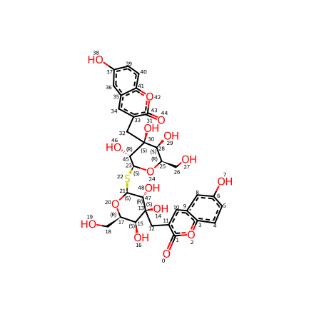 O=c1oc2ccc(O)cc2cc1C[C@]1(O)[C@@H](O)[C@@H](CO)O[C@@H](S[C@@H]2O[C@H](CO)[C@H](O)[C@@](O)(Cc3cc4cc(O)ccc4oc3=O)[C@H]2O)[C@@H]1O